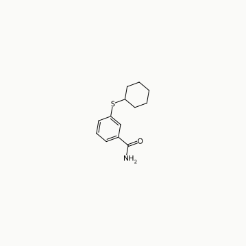 NC(=O)c1cccc(SC2CCCCC2)c1